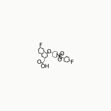 O=C(O)Cc1cc(OC2CCN(S(=O)(=O)c3ccc(F)cc3)CC2)c2cc(F)ccc2c1